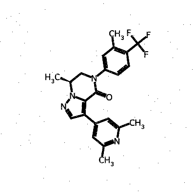 Cc1cc(-c2cnn3c2C(=O)N(c2ccc(C(F)(F)F)c(C)c2)C[C@@H]3C)cc(C)n1